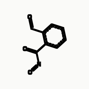 O=Cc1ccccc1C(=O)N=O